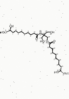 CCCCCCCCC(O)CCCCCCCCC(=O)NC(CO)(CO)COC(=O)CCCCCCCCC(O)CCCCCCCC